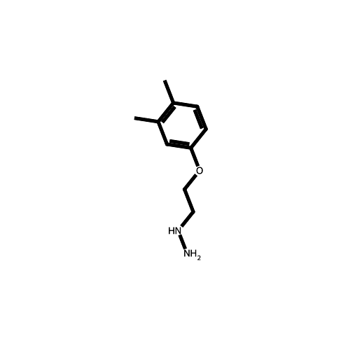 Cc1ccc(OCCNN)cc1C